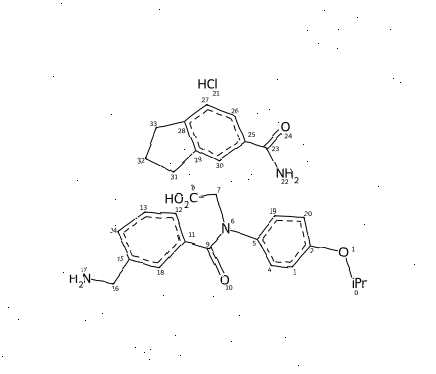 CC(C)Oc1ccc(N(CC(=O)O)C(=O)c2cccc(CN)c2)cc1.Cl.NC(=O)c1ccc2c(c1)CCC2